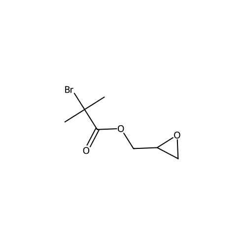 CC(C)(Br)C(=O)OCC1CO1